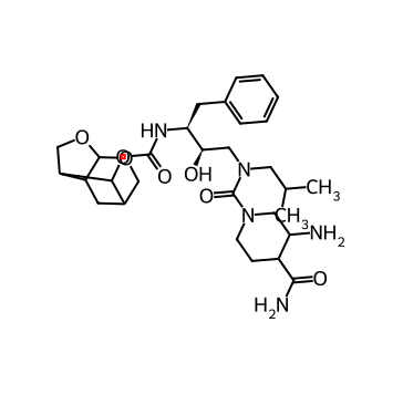 CC(C)CN(C[C@@H](O)[C@H](Cc1ccccc1)NC(=O)OC1C2COC3OCC1C3C2)C(=O)N1CCC(C(N)=O)C(N)C1